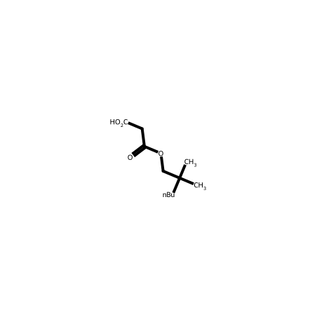 CCCCC(C)(C)COC(=O)CC(=O)O